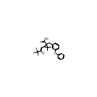 CC1(C)C(/C=C(\Cl)C(F)(F)F)C1(Cc1cccc(Oc2ccccc2)c1)C(=O)O